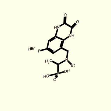 Br.CCN(Cc1cc(F)cc2[nH]c(=O)c(=O)[nH]c12)C(C)P(=O)(O)O